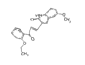 CCOc1ccccc1C(=O)C=Cc1cc2cc(OC)ccc2[nH]c1=O